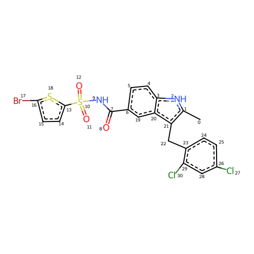 Cc1[nH]c2ccc(C(=O)NS(=O)(=O)c3ccc(Br)s3)cc2c1Cc1ccc(Cl)cc1Cl